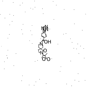 CC1=C(N2CCC3(CCN(C[C@H](O)c4ccc(-n5ncnn5)cc4)CC3)C2=O)COC1=O